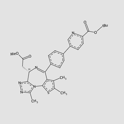 COC(=O)C[C@@H]1N=C(c2ccc(-c3ccc(C(=O)OC(C)(C)C)nc3)cc2)c2c(sc(C)c2C)-n2c(C)nnc21